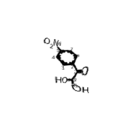 O=C(c1ccc([N+](=O)[O-])cc1)C(O)O